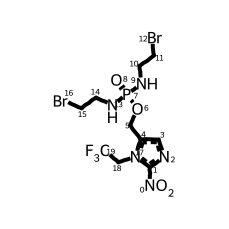 O=[N+]([O-])c1ncc(COP(=O)(NCCBr)NCCBr)n1CC(F)(F)F